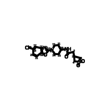 O=C(CC1CS(=O)(=O)C1)NC1CCN(c2nc3cc(Cl)ccc3o2)CC1